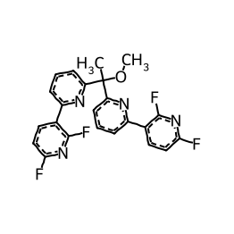 COC(C)(c1cccc(-c2ccc(F)nc2F)n1)c1cccc(-c2ccc(F)nc2F)n1